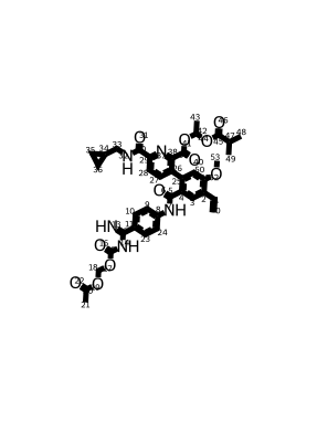 C=Cc1cc(C(=O)Nc2ccc(C(=N)NC(=O)OCOC(C)=O)cc2)c(-c2ccc(C(=O)NCC3CC3)nc2C(=O)OC(C)OC(=O)C(C)C)cc1OC